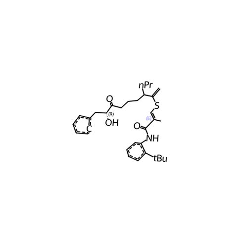 C=C(S/C=C(\C)C(=O)Nc1ccccc1C(C)(C)C)C(CCC)CCCC(=O)[C@H](O)Cc1ccccc1